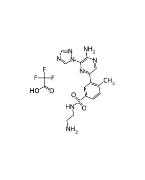 Cc1ccc(S(=O)(=O)NCCN)cc1-c1cnc(N)c(-n2cncn2)n1.O=C(O)C(F)(F)F